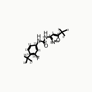 CC(C)(C)c1cc(NC(=O)Nc2ccc(C(C)(C)C)c(F)c2)no1